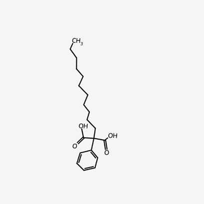 CCCCCCCCCCCC(C(=O)O)(C(=O)O)c1ccccc1